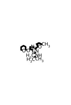 Cc1ccc(-c2nc(NC(C)(C)C)nc3c(OC4CCCCO4)cnn23)o1